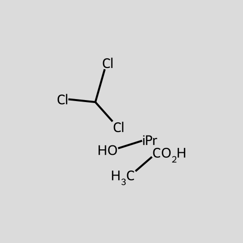 CC(=O)O.CC(C)O.ClC(Cl)Cl